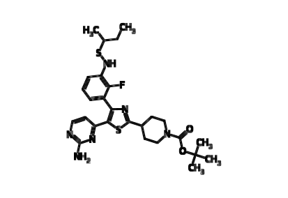 CCC(C)SNc1cccc(-c2nc(C3CCN(C(=O)OC(C)(C)C)CC3)sc2-c2ccnc(N)n2)c1F